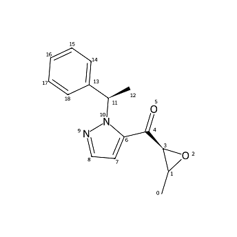 CC1O[C@@H]1C(=O)c1ccnn1[C@H](C)c1ccccc1